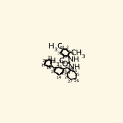 Cc1cc(C)c(NC(=O)NC2(Cc3cccc(-c4ccccc4)c3)CCCCCC2)c(C)c1